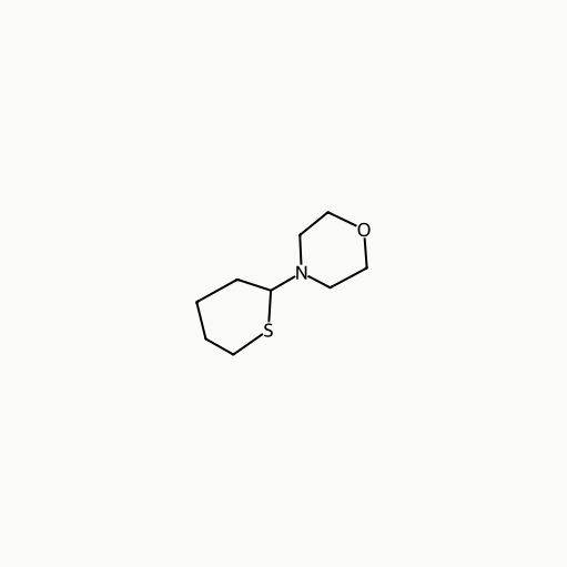 C1CCC(N2CCOCC2)SC1